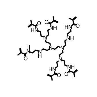 C=C(C)C(=O)NCCNCCN(CCN(CCNC(=O)C(=C)C)CCNC(=O)C(=C)C)CCN(CCNCCNC(=O)C(=C)C)CCN(CCNC(=O)C(=C)C)CCNC(=O)C(=C)C